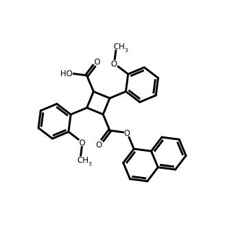 COc1ccccc1C1C(C(=O)O)C(c2ccccc2OC)C1C(=O)Oc1cccc2ccccc12